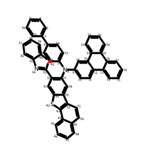 c1ccc(-c2ccc(N(c3ccc4c5ccccc5c5ccccc5c4c3)c3cc4c(cc3-c3nc5ccccc5s3)sc3c5ccccc5ccc43)cc2)cc1